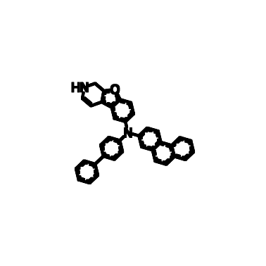 C1=Cc2c(oc3ccc(N(c4ccc(-c5ccccc5)cc4)c4ccc5c(ccc6ccccc65)c4)cc23)CN1